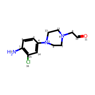 Nc1ccc(N2CCN(CC=O)CC2)cc1Cl